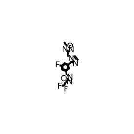 Cc1nc(Cn2ccnc2-c2cc(F)cc(-c3nnc(C(F)F)o3)c2)no1